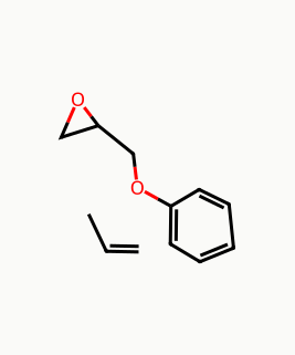 C=CC.c1ccc(OCC2CO2)cc1